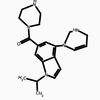 CC(C)n1ccc2c(N3C=CCNC3)cc(C(=O)N3CCNCC3)cc21